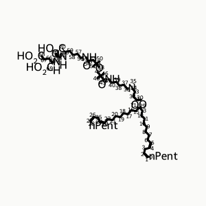 CCCCC/C=C\C/C=C\CCCCCCCCC1(CCCCCCCC/C=C\C/C=C\CCCCC)OCC(CCN(C)CCCCCNC(=O)C(C)(C)COC(C)(C)CC(=O)NCCCC[C@@H](NC(=O)N[C@H](CCC(=O)O)C(=O)O)C(=O)O)O1